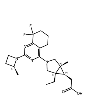 CC[C@@]12CN(c3nc(N4CC[C@@H]4C)nc4c3CCCC4(F)F)C[C@]1(C)[C@H]2CC(=O)O